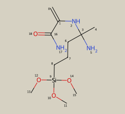 C=C(NC(C)(N)CCC[Si](OC)(OC)OC)C(N)=O